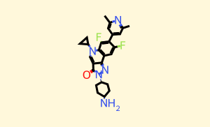 Cc1cc(-c2c(F)cc3c4nn([C@H]5CC[C@@H](N)CC5)c(=O)c-4cn(C4CC4)c3c2F)cc(C)n1